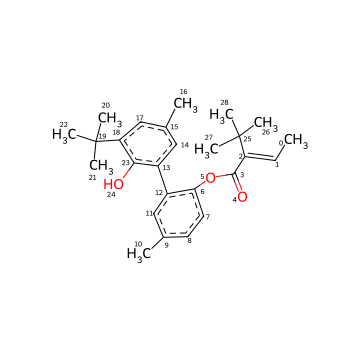 CC=C(C(=O)Oc1ccc(C)cc1-c1cc(C)cc(C(C)(C)C)c1O)C(C)(C)C